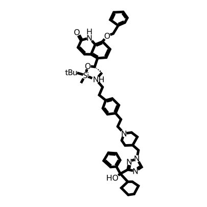 CC(C)(C)[Si](C)(C)O[C@@H](CNCCc1ccc(CCN2CCC(Cn3cnc(C(O)(c4ccccc4)C4CCCCC4)n3)CC2)cc1)c1ccc(OCc2ccccc2)c2[nH]c(=O)ccc12